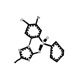 Cc1nc2n(n1)-c1cc(Cl)c(Br)cc1S(=O)(c1ccccc1)=N2